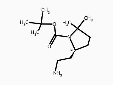 CC(C)(C)OC(=O)N1[C@H](CCN)CCC1(C)C